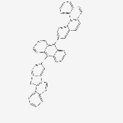 c1ccc2c(c1)ccc1c3cc(-c4c5ccccc5c(-c5ccc6c(ccc7ccc8ccccc8c76)c5)c5ccccc45)ccc3oc21